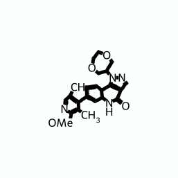 COc1ncc(C)c(C2=CC3NC(=O)c4cnn(C5COCCOC5)c4C3C=C2)c1C